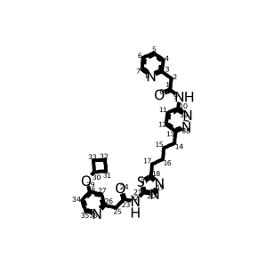 O=C(Cc1ccccn1)Nc1ccc(CCCCc2nnc(NC(=O)Cc3cc(OC4CCC4)ccn3)s2)nn1